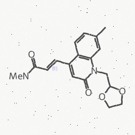 CNC(=O)/C=C/c1cc(=O)n(CC2OCCO2)c2cc(C)ccc12